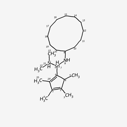 CC1=C(C)C(C)[C]([SnH]([NH]C2CCCCCCCCCCC2)[SiH](C)C)=C1C